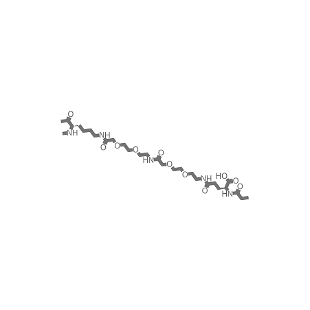 CCC(=O)N[C@@H](CCC(=O)NCCOCCOCC(=O)NCCOCCOCC(=O)NCCCC[C@H](NC)C(C)=O)C(=O)O